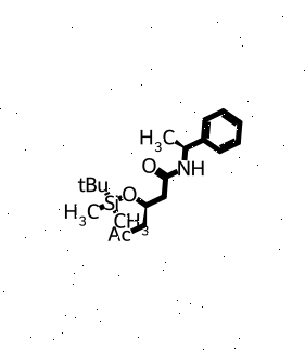 CC(=O)C[C@H](CC(=O)N[C@@H](C)c1ccccc1)O[Si](C)(C)C(C)(C)C